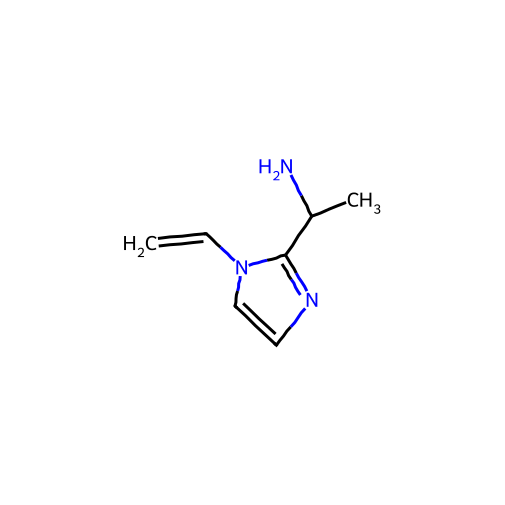 C=Cn1ccnc1C(C)N